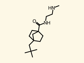 CNCCNC(=O)C12CCC(CC(C)(C)C)(CC1)C2